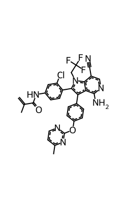 C=C(C)C(=O)Nc1ccc(-c2c(-c3ccc(Oc4nccc(C)n4)cc3)c3c(N)ncc(C#N)c3n2CC(F)(F)F)c(Cl)c1